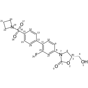 O=C1O[C@@H](CO)CN1c1ccc(-c2ccc(S(=O)(=O)N3CCC3)cc2)c(F)c1